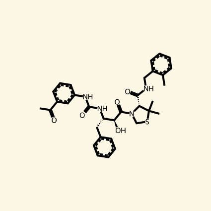 CC(=O)c1cccc(NC(=O)N[C@@H](Cc2ccccc2)[C@H](O)C(=O)N2CSC(C)(C)[C@H]2C(=O)NCc2ccccc2C)c1